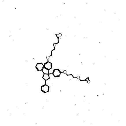 c1ccc(C2CC(c3ccccc3)C(c3ccc(OCCCOCC4CO4)cc3)(c3ccc(OCCCOCC4CO4)cc3)C2)cc1